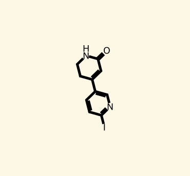 O=C1C=C(c2ccc(I)nc2)CCN1